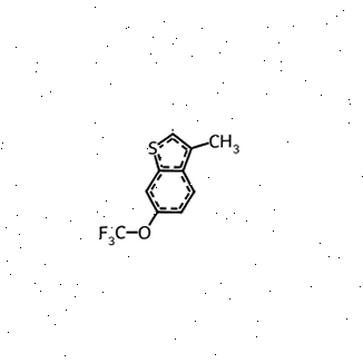 Cc1[c]sc2cc(OC(F)(F)F)ccc12